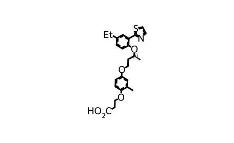 CCc1ccc(O[C@@H](C)CCOc2ccc(OCCC(=O)O)c(C)c2)c(-c2nccs2)c1